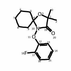 CC1(C)OC2(CCCCC2)N(Oc2ccccc2F)C1=O